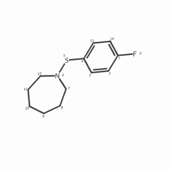 Fc1ccc(SN2CCCCCC2)cc1